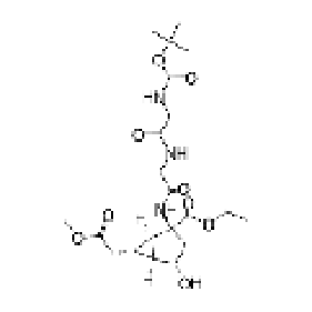 CCOC(=O)[C@]1(NC(=O)CNC(=O)CNC(=O)OC(C)(C)C)C[C@H](O)[C@H]2[C@H](CC(=O)OC)[C@H]21